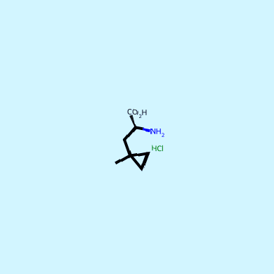 CC1(C[C@H](N)C(=O)O)CC1.Cl